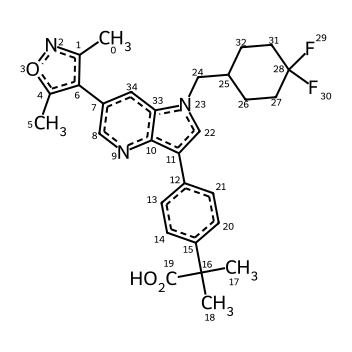 Cc1noc(C)c1-c1cnc2c(-c3ccc(C(C)(C)C(=O)O)cc3)cn(CC3CCC(F)(F)CC3)c2c1